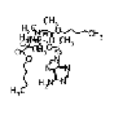 CCCCCOC(=O)[C@@H](C)N(C)[P@](=O)(CO[C@H](C)Cn1cnc2c(N)ncnc21)NC(C)(C)C(=O)OCCCCC